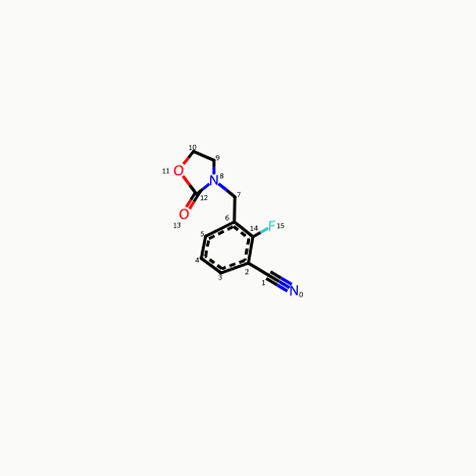 N#Cc1cccc(CN2CCOC2=O)c1F